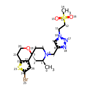 C[C@H]1C[C@@]2(CCN1Cc1cn(CCS(C)(=O)=O)nn1)OCCc1sc(Br)cc12